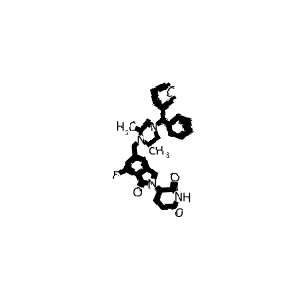 CC1CN(C(c2ccccc2)c2ccccc2)CC(C)N1Cc1cc(F)c2c(c1)CN(C1CCC(=O)NC1=O)C2=O